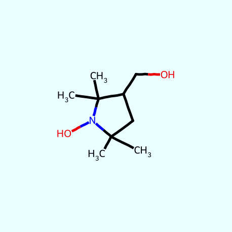 CC1(C)CC(CO)C(C)(C)N1O